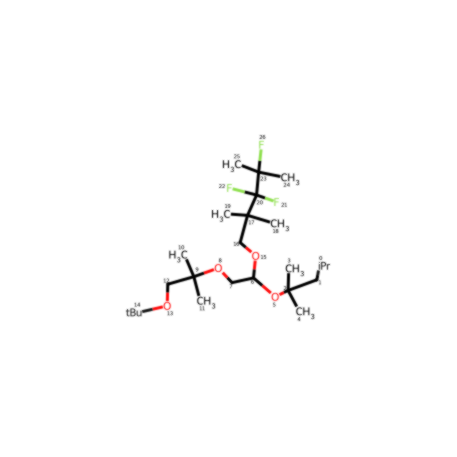 CC(C)CC(C)(C)OC(COC(C)(C)COC(C)(C)C)OCC(C)(C)C(F)(F)C(C)(C)F